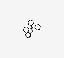 C(c1ccccc1)=P(C1CCCCC1)(C1CCCCC1)C1CCCCC1